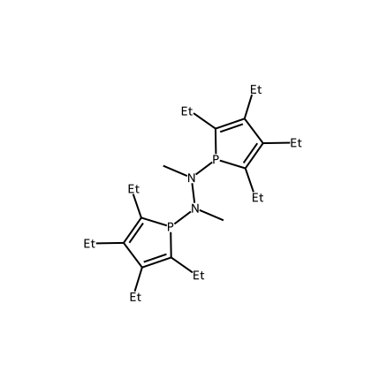 CCc1c(CC)c(CC)p(N(C)N(C)p2c(CC)c(CC)c(CC)c2CC)c1CC